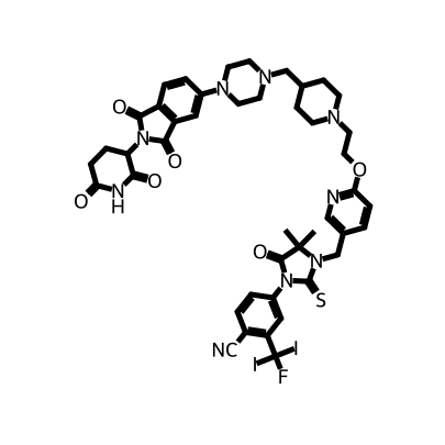 CC1(C)C(=O)N(c2ccc(C#N)c(C(F)(I)I)c2)C(=S)N1Cc1ccc(OCCN2CCC(CN3CCN(c4ccc5c(c4)C(=O)N(C4CCC(=O)NC4=O)C5=O)CC3)CC2)nc1